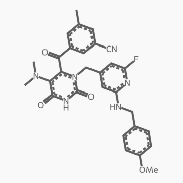 COc1ccc(CNc2cc(Cn3c(C(=O)c4cc(C)cc(C#N)c4)c(N(C)C)c(=O)[nH]c3=O)cc(F)n2)cc1